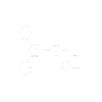 CCc1nc2cccc3c2n1-c1cc(-c2cc(-c4ccccc4)cc(-c4ccccc4)c2)ccc1O3